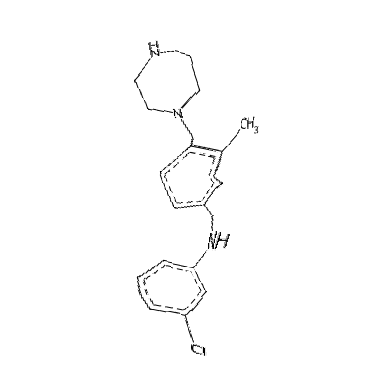 Cc1cc(Nc2cccc(Cl)c2)ccc1N1CCNCC1